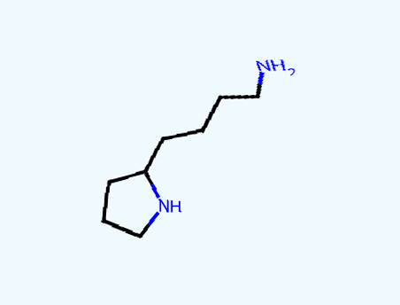 NCCCCC1CCCN1